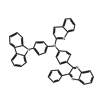 c1ccc(-c2nc3ccccc3nc2-c2ccc(N(c3ccc(-n4c5ccccc5c5ccccc54)cc3)c3ccc4ccccc4n3)cc2)cc1